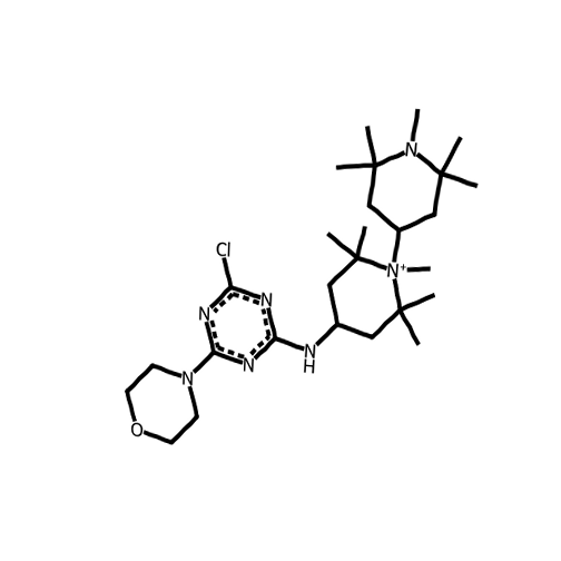 CN1C(C)(C)CC([N+]2(C)C(C)(C)CC(Nc3nc(Cl)nc(N4CCOCC4)n3)CC2(C)C)CC1(C)C